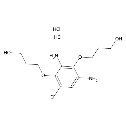 Cl.Cl.Nc1cc(Cl)c(OCCCO)c(N)c1OCCCO